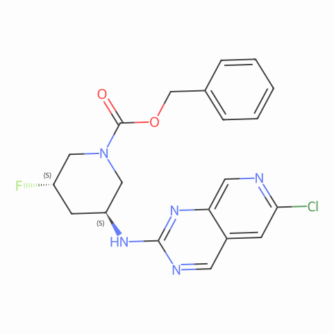 O=C(OCc1ccccc1)N1C[C@@H](F)C[C@H](Nc2ncc3cc(Cl)ncc3n2)C1